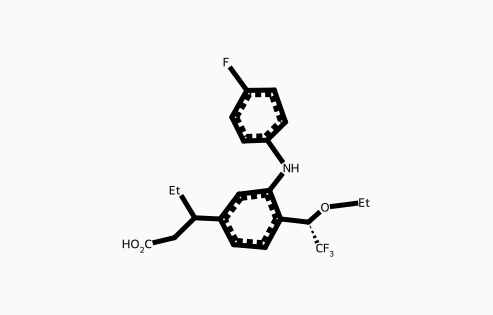 CCO[C@@H](c1ccc(C(CC)CC(=O)O)cc1Nc1ccc(F)cc1)C(F)(F)F